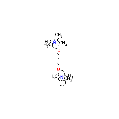 CCCN1C(C)(C)CCC(OCCCCCCOC2CCC(C)(C)N(c3ccccc3)C(C)(C)C2)CC1(C)C